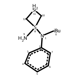 CCC(C)N(c1ccccc1)S1(N)C[SiH2]C1